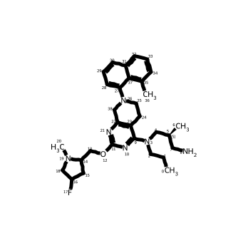 CCCN(C[C@@H](C)CN)c1nc(OCC2CC(F)CN2C)nc2c1CCN(c1cccc3cccc(C)c13)C2